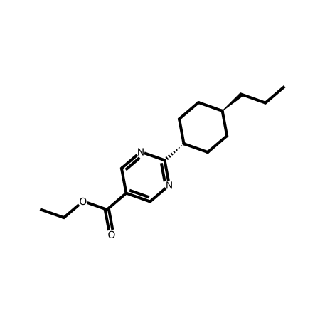 CCC[C@H]1CC[C@H](c2ncc(C(=O)OCC)cn2)CC1